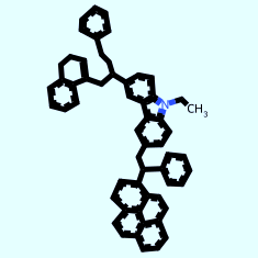 CCn1c2ccc(CC(c3ccccc3)c3ccc4ccc5cccc6ccc3c4c56)cc2c2cc(C(CCc3ccccc3)CC3=CCCc4ccccc43)ccc21